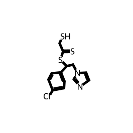 S=C(CS)SC(Cn1ccnc1)c1ccc(Cl)cc1